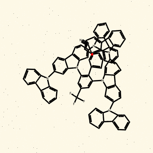 N#Cc1cccc(-c2c(-n3c4cc(-n5c6ccccc6c6ccccc65)ccc4c4ccc(-n5c6ccccc6c6ccccc65)cc43)cc(C(F)(F)F)cc2-n2c3cc(-n4c5ccccc5c5ccccc54)ccc3c3ccc(-n4c5ccccc5c5ccccc54)cc32)c1